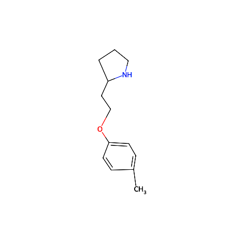 Cc1ccc(OCCC2CCCN2)cc1